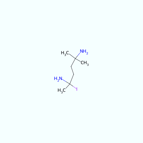 CC(C)(N)CCC(C)(N)I